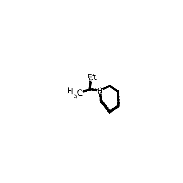 CCC(C)B1CCCCC1